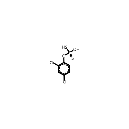 OP(=S)(S)Oc1ccc(Cl)cc1Cl